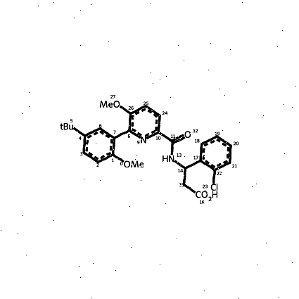 COc1ccc(C(C)(C)C)cc1-c1nc(C(=O)NC(CC(=O)O)c2ccccc2Cl)ccc1OC